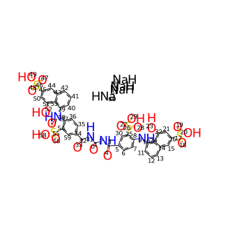 O=C(NC(=O)c1ccc(Nc2cccc3cc(S(=O)(=O)O)cc(O)c23)c(S(=O)(=O)O)c1)NC(=O)c1ccc(Nc2cccc3cc(S(=O)(=O)O)cc(O)c23)c(S(=O)(=O)O)c1.[NaH].[NaH].[NaH].[NaH]